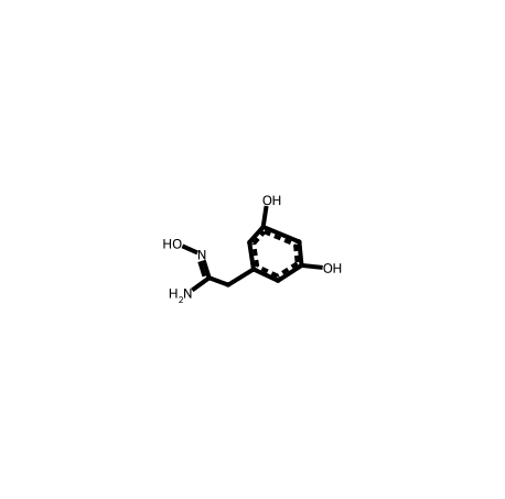 NC(Cc1cc(O)cc(O)c1)=NO